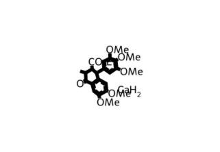 CCOC(=O)C1C(C)C(=O)c2cc(OC)c(OC)cc2C1c1cc(OC)c(OC)c(OC)c1.[CaH2]